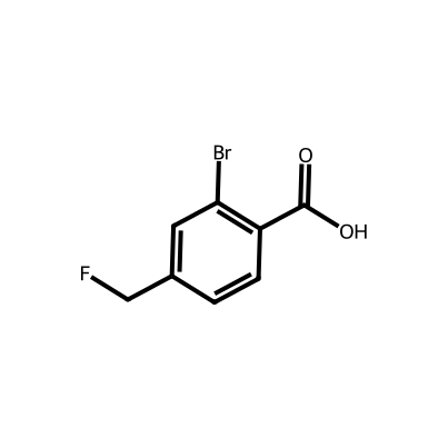 O=C(O)c1ccc(CF)cc1Br